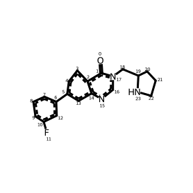 O=c1c2ccc(-c3cccc(F)c3)cc2ncn1CC1CCCN1